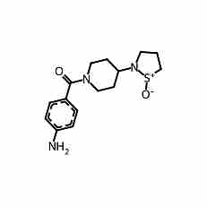 Nc1ccc(C(=O)N2CCC(N3CCC[S+]3[O-])CC2)cc1